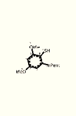 CCCCCc1cc(OC)cc(OC)c1S